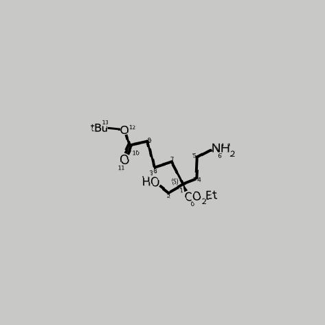 CCOC(=O)[C@](CO)(CCN)CCCC(=O)OC(C)(C)C